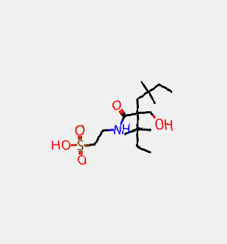 CCC(C)(C)CC(CO)(C(=O)NCCS(=O)(=O)O)C(C)(C)CC